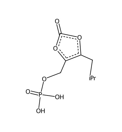 CC(C)Cc1oc(=O)oc1COP(=O)(O)O